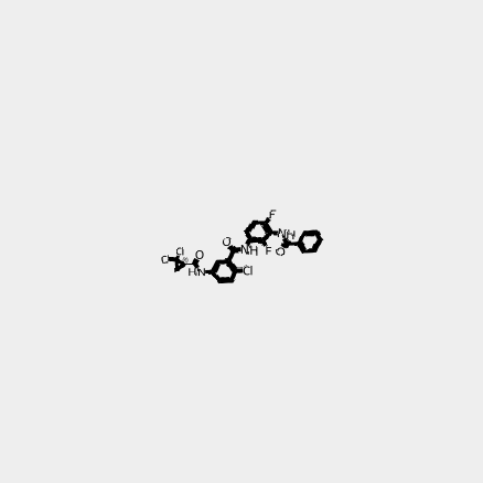 O=C(Nc1c(F)ccc(NC(=O)c2cc(NC(=O)[C@H]3CC3(Cl)Cl)ccc2Cl)c1F)c1ccccc1